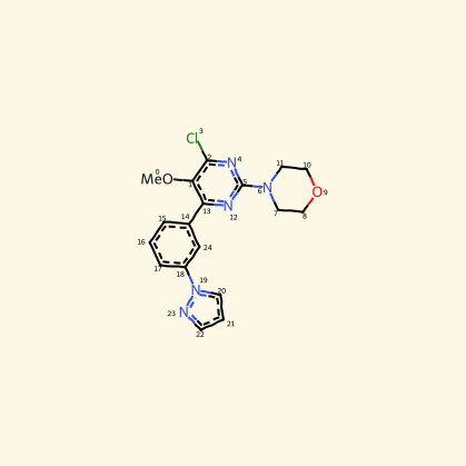 COc1c(Cl)nc(N2CCOCC2)nc1-c1cccc(-n2cccn2)c1